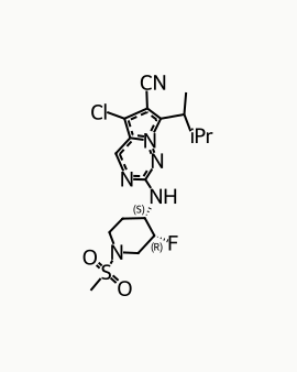 CC(C)C(C)c1c(C#N)c(Cl)c2cnc(N[C@H]3CCN(S(C)(=O)=O)C[C@H]3F)nn12